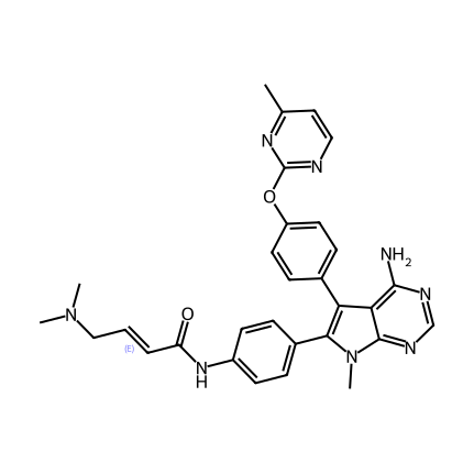 Cc1ccnc(Oc2ccc(-c3c(-c4ccc(NC(=O)/C=C/CN(C)C)cc4)n(C)c4ncnc(N)c34)cc2)n1